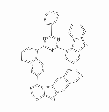 c1ccc(-c2nc(-c3cccc4cc(-c5cccc6oc7cc8cnccc8cc7c56)ccc34)nc(-c3cccc4oc5ccccc5c34)n2)cc1